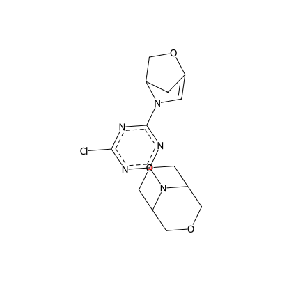 Clc1nc(N2C=C3CC2CO3)nc(N2C3COCC2COC3)n1